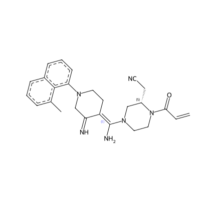 C=CC(=O)N1CCN(/C(N)=C2\CCN(c3cccc4cccc(C)c34)CC2=N)C[C@@H]1CC#N